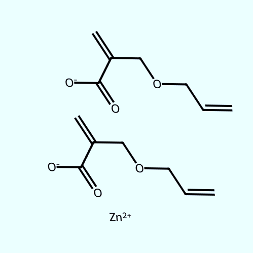 C=CCOCC(=C)C(=O)[O-].C=CCOCC(=C)C(=O)[O-].[Zn+2]